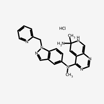 CN(c1ccc2c(cnn2Cc2ccccn2)c1)c1ncnc2c1=CC(C)(N)NC=2.Cl